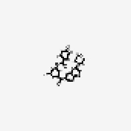 O=C(Nc1cc(F)cc(C(=O)c2ccc3ncc(N4CCOCC4)nc3c2)c1)c1ccc(Cl)cc1